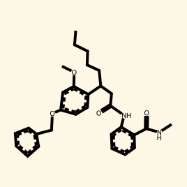 CCCCCC(CC(=O)Nc1ccccc1C(=O)NC)c1ccc(OCc2ccccc2)cc1OC